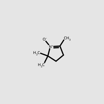 CC1=[N+]([O-])C(C)(C)CC1